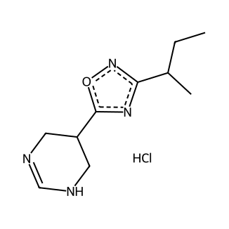 CCC(C)c1noc(C2CN=CNC2)n1.Cl